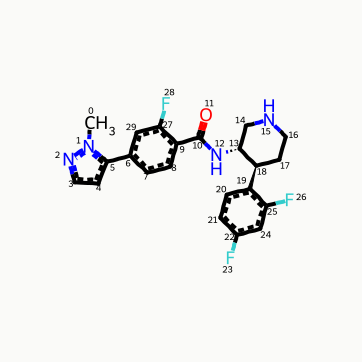 Cn1nccc1-c1ccc(C(=O)N[C@@H]2CNCC[C@H]2c2ccc(F)cc2F)c(F)c1